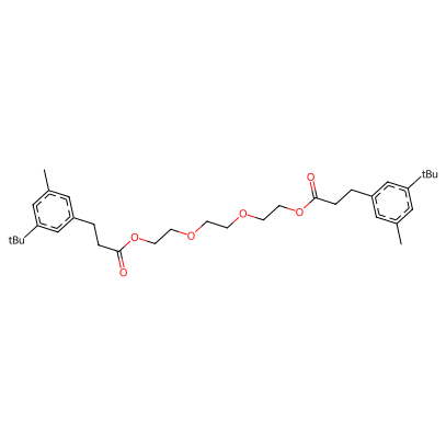 Cc1cc(CCC(=O)OCCOCCOCCOC(=O)CCc2cc(C)cc(C(C)(C)C)c2)cc(C(C)(C)C)c1